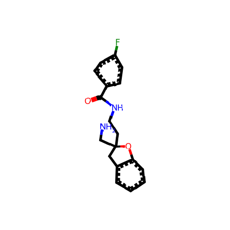 NCC1(CCNC(=O)c2ccc(F)cc2)Cc2ccccc2O1